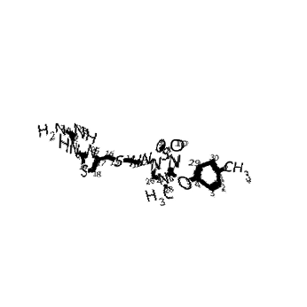 Cc1ccc(OC2=NS(=O)(=O)N(NCCSCc3csc(NC(=N)N)n3)CN2C)cc1